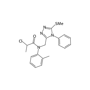 CSc1nnc(CN(C(=O)C(C)Cl)c2ccccc2C)n1-c1ccccc1